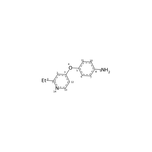 CCc1cc(Oc2ccc(N)cc2)ccn1